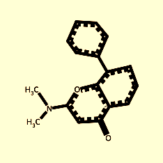 CN(C)c1cc(=O)c2cccc(-c3ccccc3)c2o1